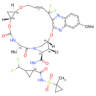 CC[C@@H]1[C@@H]2CN(C(=O)[C@H](C(C)(C)C)NC(=O)O[C@@H]3C[C@H]3OC/C=C/C(F)(F)c3nc4ccc(OC)cc4nc3O2)[C@@H]1C(=O)N[C@]1(C(=O)NS(=O)(=O)C2(C)CC2)CC1C(F)F